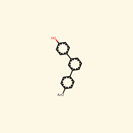 CC(=O)Oc1ccc(-c2cccc(-c3ccc(O)cc3)c2)cc1